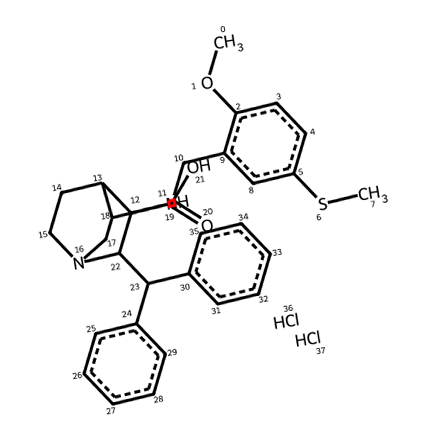 COc1ccc(SC)cc1CNC1C2CCN(CC2C(=O)O)C1C(c1ccccc1)c1ccccc1.Cl.Cl